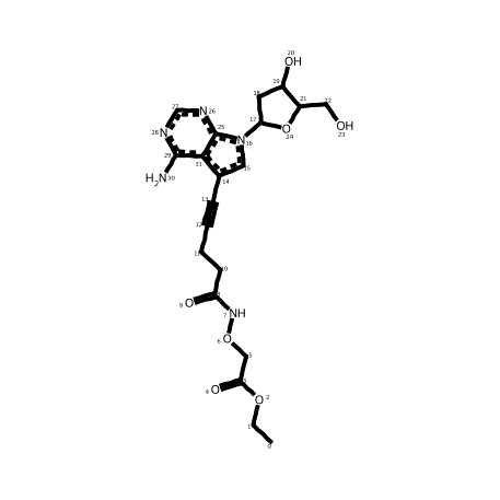 CCOC(=O)CONC(=O)CCC#Cc1cn(C2CC(O)C(CO)O2)c2ncnc(N)c12